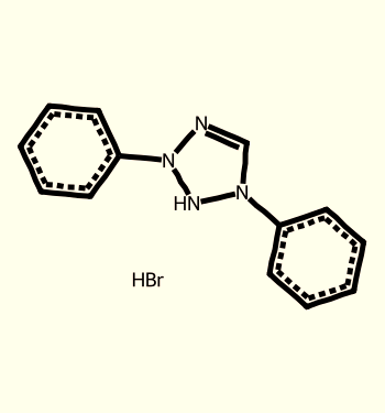 Br.C1=NN(c2ccccc2)NN1c1ccccc1